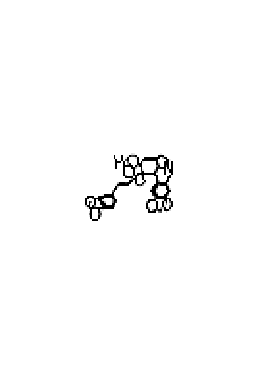 O=C(/C=C/c1ccc2c(c1)OCO2)O[C@H]1C2c3cc4c(cc3CN3CCC(=C[C@@H]1O)C23)OCO4